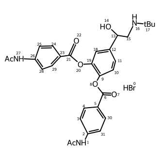 Br.CC(=O)Nc1ccc(C(=O)Oc2ccc(C(O)CNC(C)(C)C)cc2OC(=O)c2ccc(NC(C)=O)cc2)cc1